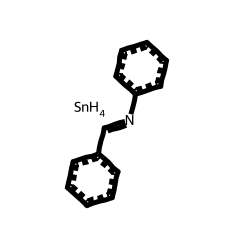 C(=N\c1ccccc1)/c1ccccc1.[SnH4]